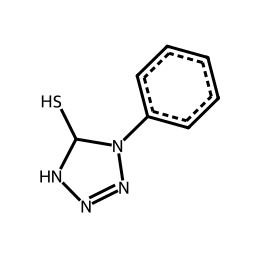 SC1NN=NN1c1ccccc1